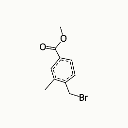 COC(=O)c1ccc(CBr)c(C)c1